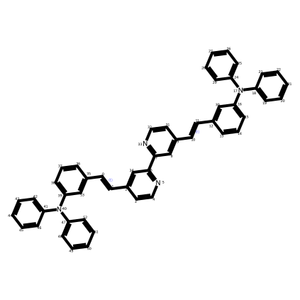 C(=C\c1ccnc(-c2cc(/C=C/c3cccc(N(c4ccccc4)c4ccccc4)c3)ccn2)c1)/c1cccc(N(c2ccccc2)c2ccccc2)c1